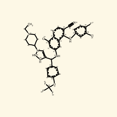 CCN1CCC(N2C=C(C(Nc3cc(Cl)c4ncc(C#N)c(Nc5ccc(F)c(Cl)c5)c4c3)c3ccc(OC(F)(F)F)cc3)NN2)CC1